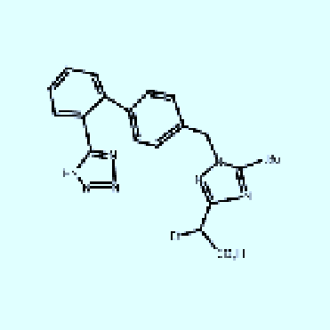 CCC(C(=O)O)c1nc(C(C)(C)C)n(Cc2ccc(-c3ccccc3-c3nnn[nH]3)cc2)n1